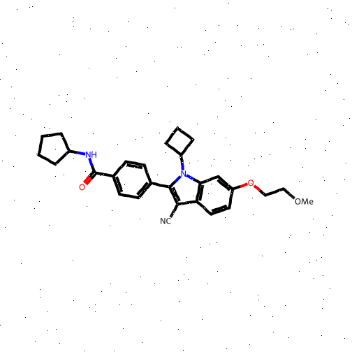 COCCOc1ccc2c(C#N)c(-c3ccc(C(=O)NC4CCCC4)cc3)n(C3CCC3)c2c1